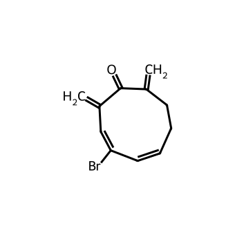 C=C1/C=C(Br)\C=C/CCC(=C)C1=O